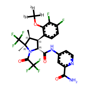 [2H]C([2H])([2H])Oc1c([C@H]2[C@H](C(=O)Nc3ccnc(C(N)=O)c3)N(C(=O)C(F)(F)F)[C@@](C)(C(F)(F)F)[C@H]2C)ccc(F)c1F